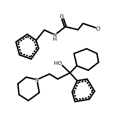 O=C(CCCl)NCc1ccccc1.OC(CCN1CCCCC1)(c1ccccc1)C1CCCCC1